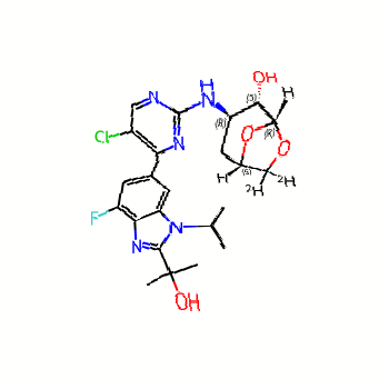 [2H]C1([2H])O[C@@H]2O[C@H]1C[C@@H](Nc1ncc(Cl)c(-c3cc(F)c4nc(C(C)(C)O)n(C(C)C)c4c3)n1)[C@@H]2O